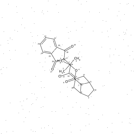 CC(C)(C)OC(=O)N1C2CCC1CC(=C(Cl)CN1C(=O)c3ccccc3C1=O)C2